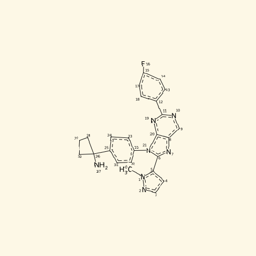 Cn1nccc1-c1nc2cnc(-c3ccc(F)cc3)nc2n1-c1ccc(C2(N)CCC2)cc1